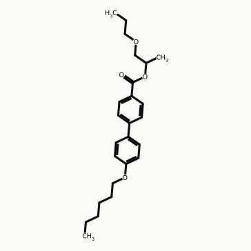 CCCCCCOc1ccc(-c2ccc(C(=O)OC(C)COCCC)cc2)cc1